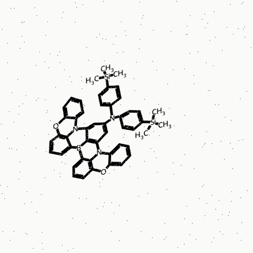 C[Si](C)(C)c1ccc(N(c2ccc([Si](C)(C)C)cc2)c2cc3c4c(c2)N2c5ccccc5Oc5cccc(c52)B4c2cccc4c2N3c2ccccc2O4)cc1